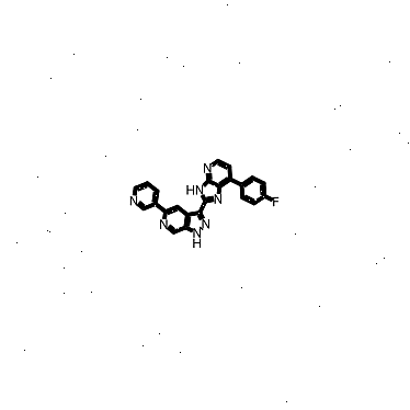 Fc1ccc(-c2ccnc3[nH]c(-c4n[nH]c5cnc(-c6cccnc6)cc45)nc23)cc1